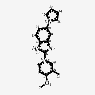 COc1cc[n+](-c2nc3cc(-n4cccc4)ccc3[nH]2)cc1C